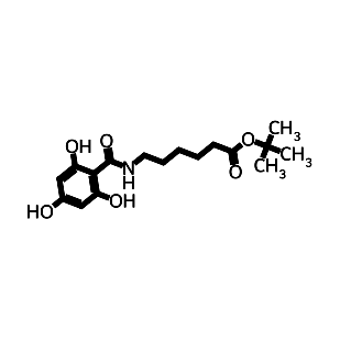 CC(C)(C)OC(=O)CCCCCNC(=O)c1c(O)cc(O)cc1O